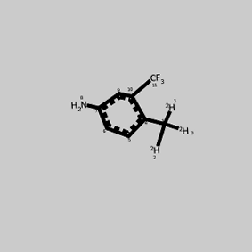 [2H]C([2H])([2H])c1ccc(N)cc1C(F)(F)F